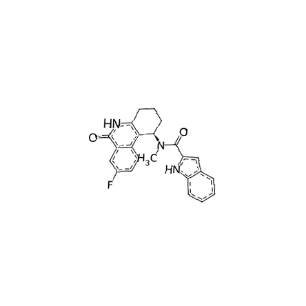 CN(C(=O)c1cc2ccccc2[nH]1)[C@@H]1CCCc2[nH]c(=O)c3cc(F)ccc3c21